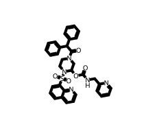 O=C(NCc1ccccn1)OC1CN(C(=O)C(c2ccccc2)c2ccccc2)CCN1S(=O)(=O)c1cccc2cccnc12